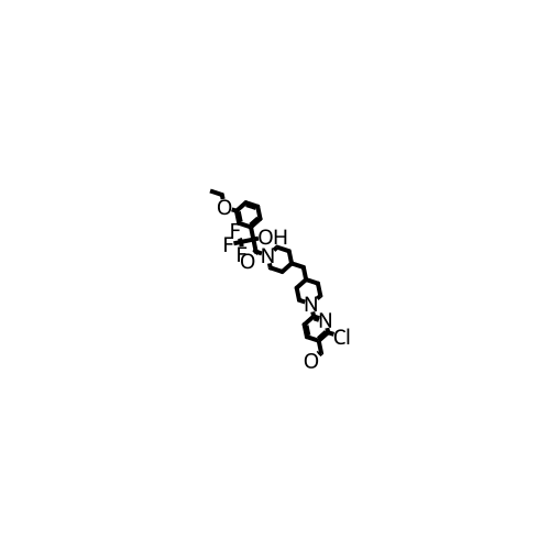 CCOc1cccc(C(O)(C(=O)N2CCC(CC3CCN(c4ccc(C=O)c(Cl)n4)CC3)CC2)C(F)(F)F)c1